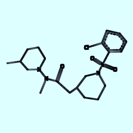 CC1CCCN(N(C)C(=O)CC2CCCN(S(=O)(=O)c3ccccc3Cl)C2)C1